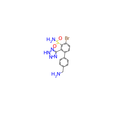 NCc1ccc(-c2ccc(Br)c(S(N)(=O)=O)c2-c2nn[nH]n2)cc1